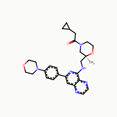 C[C@]1(CNc2nc(-c3ccc(N4CCOCC4)cc3)cc3nccnc23)CN(C(=O)CC2CC2)CCO1